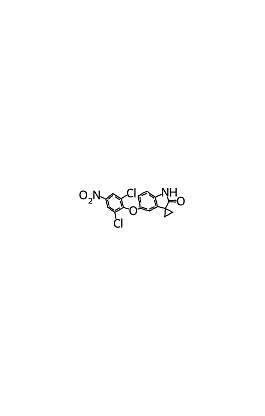 O=C1Nc2ccc(Oc3c(Cl)cc([N+](=O)[O-])cc3Cl)cc2C12CC2